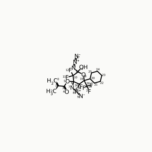 C=C(C)C(=O)OC1(N=[N+]=[N-])C(F)(F)C(O)(N=[N+]=[N-])OC(C2CCCCC2)(C(F)(F)F)C1(F)F